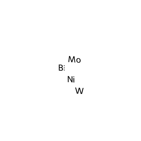 [B].[Mo].[Ni].[W]